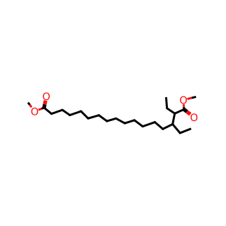 CCC(CCCCCCCCCCCCCC(=O)OC)C(CC)C(=O)OC